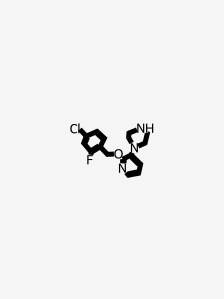 Fc1cc(Cl)ccc1COc1ncccc1N1CCNCC1